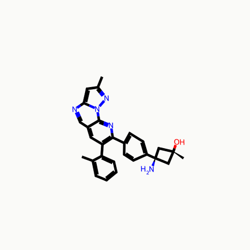 Cc1cc2ncc3cc(-c4ccccc4C)c(-c4ccc([C@]5(N)C[C@](C)(O)C5)cc4)nc3n2n1